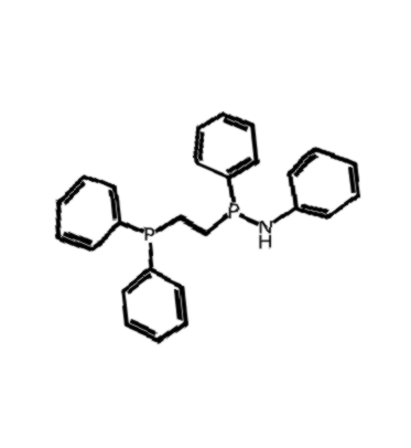 c1ccc(NP(CCP(c2ccccc2)c2ccccc2)c2ccccc2)cc1